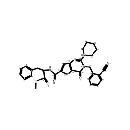 COC(=O)C(Cc1ccccc1)NC(=O)c1cc2nc(N3CCCCC3)n(Cc3ccccc3C#N)c(=O)c2s1